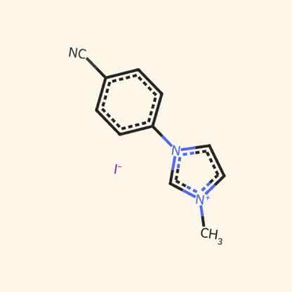 C[n+]1ccn(-c2ccc(C#N)cc2)c1.[I-]